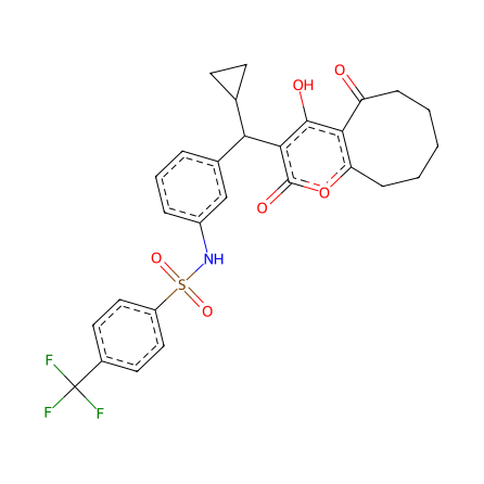 O=C1CCCCCc2oc(=O)c(C(c3cccc(NS(=O)(=O)c4ccc(C(F)(F)F)cc4)c3)C3CC3)c(O)c21